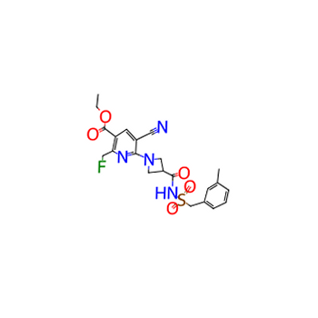 CCOC(=O)c1cc(C#N)c(N2CC(C(=O)NS(=O)(=O)Cc3cccc(C)c3)C2)nc1CF